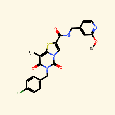 CCOc1cc(CNC(=O)c2cn3c(=O)n(Cc4ccc(Cl)cc4)c(=O)c(C)c3s2)ccn1